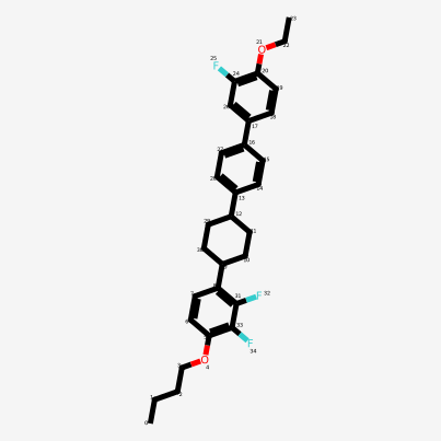 CCCCOc1ccc(C2CCC(c3ccc(-c4ccc(OCC)c(F)c4)cc3)CC2)c(F)c1F